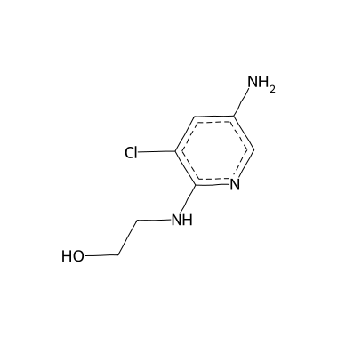 Nc1cnc(NCCO)c(Cl)c1